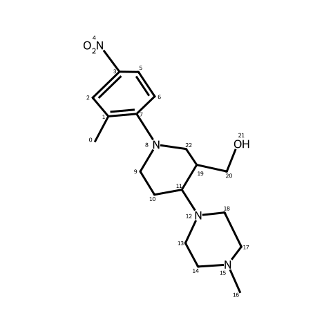 Cc1cc([N+](=O)[O-])ccc1N1CCC(N2CCN(C)CC2)C(CO)C1